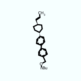 CC=C[C@H]1CC[C@H](c2ccc(-c3ccc(COCCCC)cc3)cc2)CC1